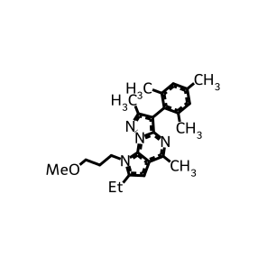 CCc1cc2c(C)nc3c(-c4c(C)cc(C)cc4C)c(C)nn3c2n1CCCOC